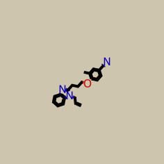 C=CCn1c(CCCOc2ccc(C#N)cc2C)nc2ccccc21